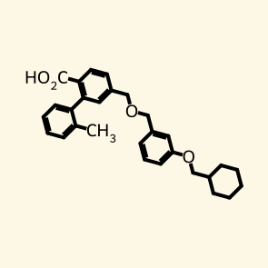 Cc1ccccc1-c1cc(COCc2cccc(OCC3CCCCC3)c2)ccc1C(=O)O